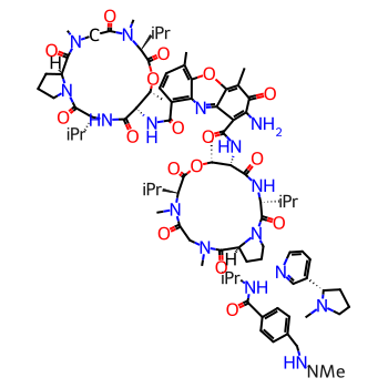 CN1CCC[C@H]1c1cccnc1.CNNCc1ccc(C(=O)NC(C)C)cc1.Cc1c2oc3c(C)ccc(C(=O)N[C@@H]4C(=O)N[C@H](C(C)C)C(=O)N5CCC[C@H]5C(=O)N(C)CC(=O)N(C)[C@@H](C(C)C)C(=O)O[C@@H]4C)c3nc-2c(C(=O)N[C@@H]2C(=O)N[C@H](C(C)C)C(=O)N3CCC[C@H]3C(=O)N(C)CC(=O)N(C)[C@@H](C(C)C)C(=O)O[C@@H]2C)c(N)c1=O